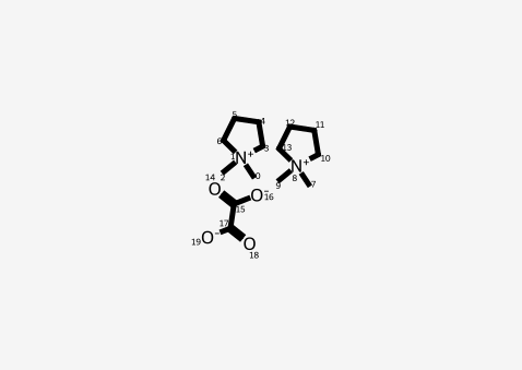 C[N+]1(C)CCCC1.C[N+]1(C)CCCC1.O=C([O-])C(=O)[O-]